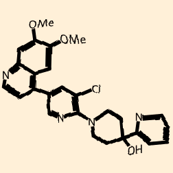 COc1cc2nccc(-c3cnc(N4CCC(O)(c5ccccn5)CC4)c(Cl)c3)c2cc1OC